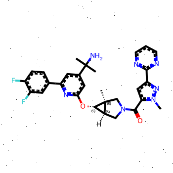 Cn1nc(-c2ncccn2)cc1C(=O)N1C[C@H]2[C@H](Oc3cc(C(C)(C)N)cc(-c4ccc(F)c(F)c4)n3)[C@@]2(C)C1